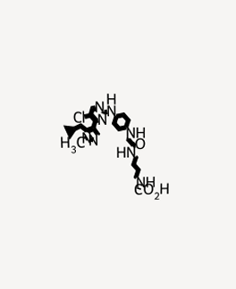 Cn1ncc(-c2nc(NC3CCC(NCC(=O)NCCCCNC(=O)O)CC3)ncc2Cl)c1CC1CC1